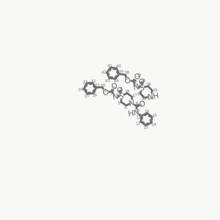 O=C(N=S1(=O)CCN(C(=O)Nc2ccccc2)CC1)OCc1ccccc1.O=C(N=S1(=O)CCNCC1)OCc1ccccc1